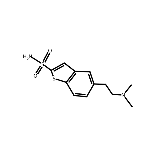 CN(C)CCc1ccc2sc(S(N)(=O)=O)cc2c1